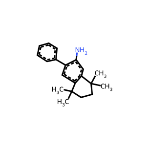 CC1(C)CCC(C)(C)c2cc(-c3ccccc3)c(N)cc21